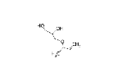 C=CC(C)OCC(O)CO